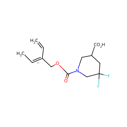 C=C/C(=C\C)COC(=O)N1CC(C(=O)O)CC(F)(F)C1